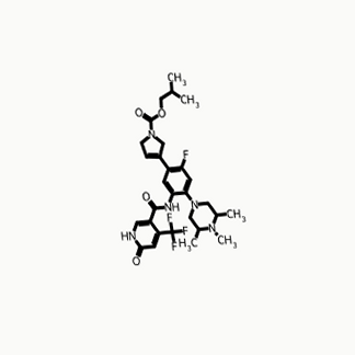 CC(C)COC(=O)N1CC=C(c2cc(NC(=O)c3c[nH]c(=O)cc3C(F)(F)F)c(N3CC(C)N(C)C(C)C3)cc2F)C1